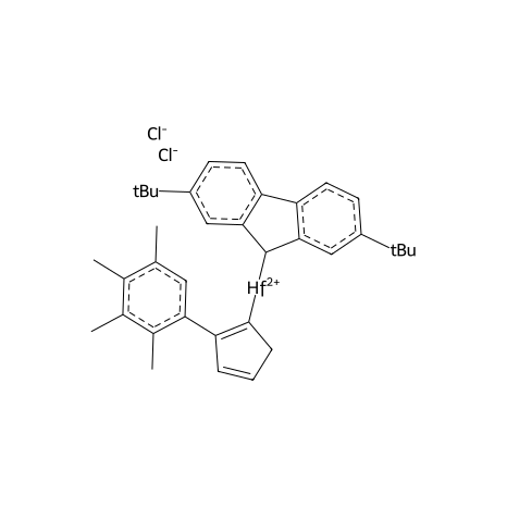 Cc1cc(C2=[C]([Hf+2][CH]3c4cc(C(C)(C)C)ccc4-c4ccc(C(C)(C)C)cc43)CC=C2)c(C)c(C)c1C.[Cl-].[Cl-]